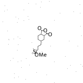 CO[Si](C)(C)CCCC1CCC2C(=O)OC(=O)C2C1